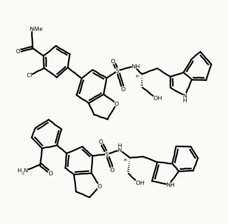 CNC(=O)c1ccc(-c2cc3c(c(S(=O)(=O)N[C@@H](CO)Cc4c[nH]c5ccccc45)c2)OCC3)cc1Cl.NC(=O)c1ccccc1-c1cc2c(c(S(=O)(=O)N[C@@H](CO)Cc3c[nH]c4ccccc34)c1)OCC2